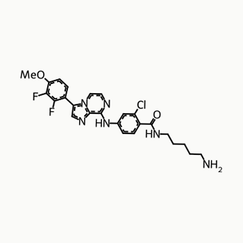 COc1ccc(-c2cnc3c(Nc4ccc(C(=O)NCCCCCN)c(Cl)c4)nccn23)c(F)c1F